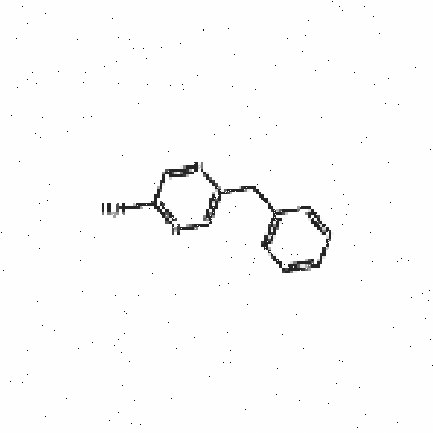 Nc1cnc(Cc2ccccc2)cn1